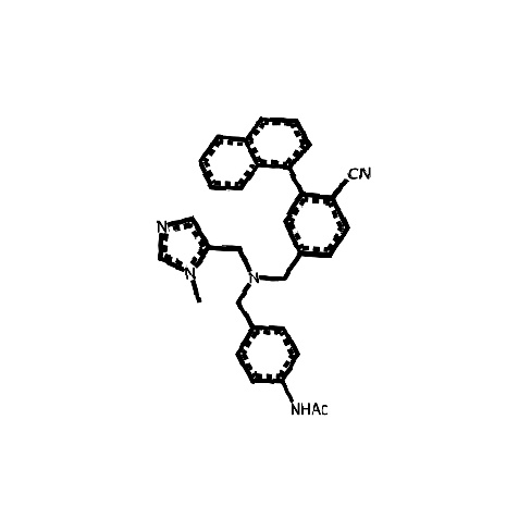 CC(=O)Nc1ccc(CN(Cc2ccc(C#N)c(-c3cccc4ccccc34)c2)Cc2cncn2C)cc1